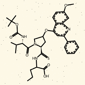 CCCC(NC(=S)[C@@H]1CC(Oc2cc(-c3ccccc3)nc3cc(OC)ccc23)CN1C(=O)[C@@H](NC(=O)OC(C)(C)C)C(C)C)C(=O)O